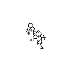 CC(C)(C)C(C(=O)N1CC(O)CC1C(=O)NCC1CCCCC1NS(C)(=O)=O)n1cc(C2CC2)nn1